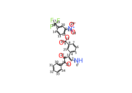 CNC1=C(c2cccc(C(=O)Oc3ccc(C(F)(F)F)cc3[N+](=O)[O-])c2)C(=O)C(c2ccccc2)O1